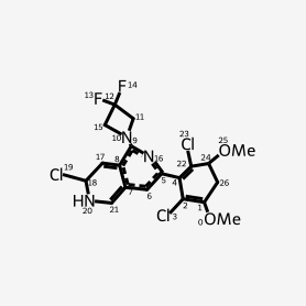 COC1=C(Cl)C(c2cc3c(c(N4CC(F)(F)C4)n2)=CC(Cl)NC=3)=C(Cl)C(OC)C1